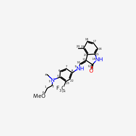 COCCN(C)c1ccc(NC=C2C(=O)Nc3cccc(C)c32)cc1C(F)(F)F